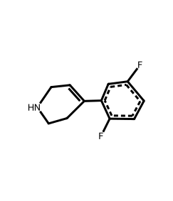 Fc1ccc(F)c(C2=CCNCC2)c1